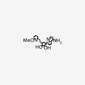 COc1cccc(CC[C@H]2C[C@@H](n3ccc4c(N)ncnc43)[C@H](O)[C@@H]2O)n1